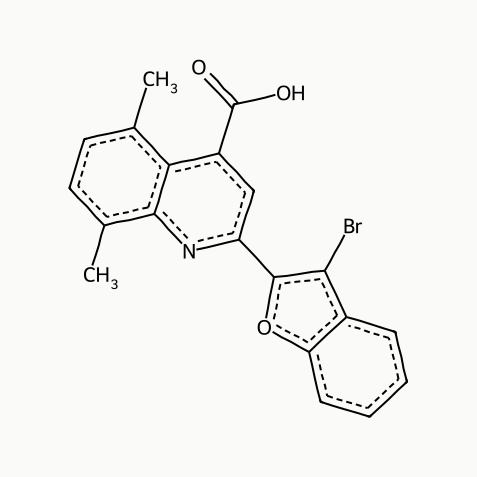 Cc1ccc(C)c2c(C(=O)O)cc(-c3oc4ccccc4c3Br)nc12